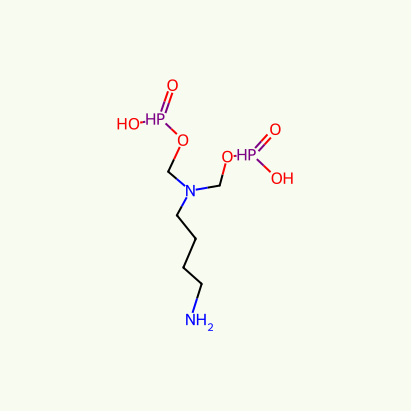 NCCCCN(CO[PH](=O)O)CO[PH](=O)O